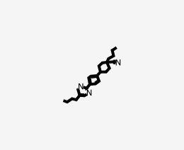 CCCCc1cnc(-c2ccc(C3CCC(C#N)(CCCC)CC3)cc2)nc1